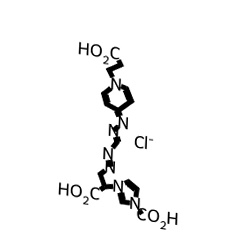 O=C(O)CCn1ccc(=NN=CN=NCC(C(=O)O)[n+]2ccn(C(=O)O)c2)cc1.[Cl-]